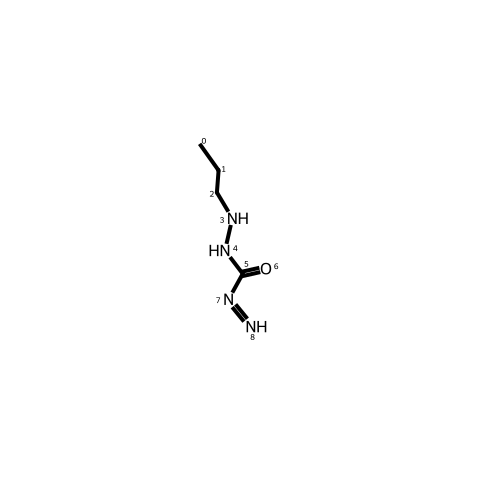 CCCNNC(=O)N=N